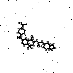 CC(=O)N1CCC(Nc2ccc3c(c2)C(=O)N(C[C@H](O)CN2CCc4sccc4C2)CC3(C)C)CC1